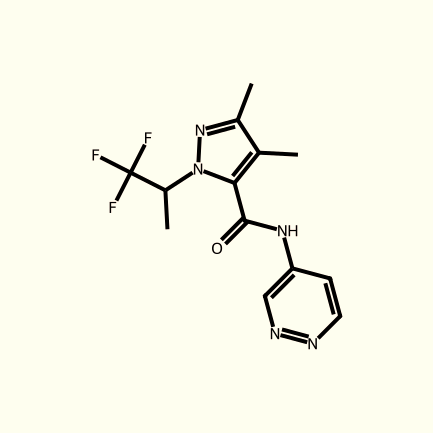 Cc1nn(C(C)C(F)(F)F)c(C(=O)Nc2ccnnc2)c1C